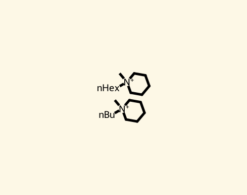 CCCCCC[N+]1(C)CCCCC1.CCCC[N+]1(C)CCCCC1